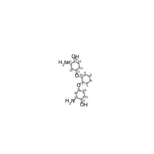 Nc1cc(Oc2ccccc2Oc2ccc(O)c(N)c2)ccc1O